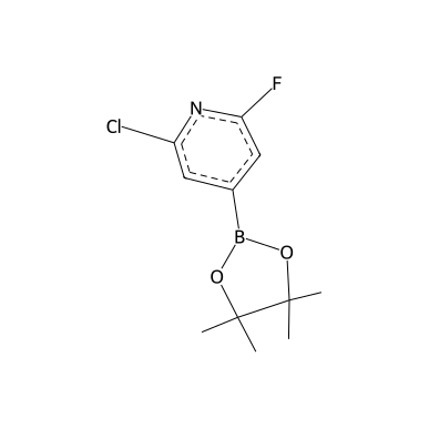 CC1(C)OB(c2cc(F)nc(Cl)c2)OC1(C)C